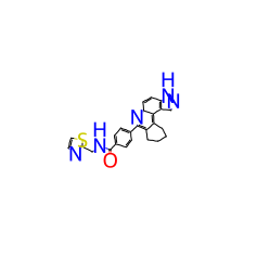 O=C(NCc1nccs1)c1ccc(-c2nc3ccc4[nH]ncc4c3c3c2CCCC3)cc1